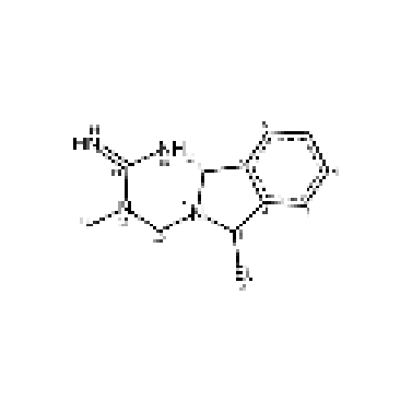 CCC1c2ccccc2CN1CN(C)C(=N)N